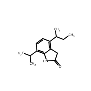 CCC(C)c1ccc(C(C)C)c2c1CC(=O)N2